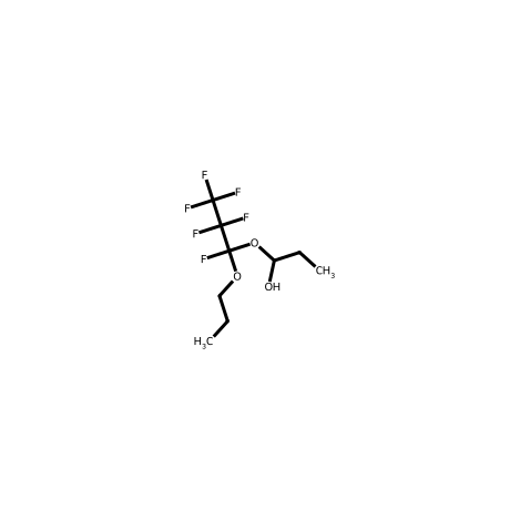 CCCOC(F)(OC(O)CC)C(F)(F)C(F)(F)F